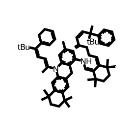 C=C(/C=C\C(C)(c1ccccc1)C(C)(C)C)CC/C=C1\C(=C/Nc2cc(C)cc3c2Cc2cc4c(cc2N3/C(C)=C/C=C(\C2=CC=CCC2)C(C)(C)C)C(C)(C)CCC4(C)C)C(C)(C)CCC1(C)C